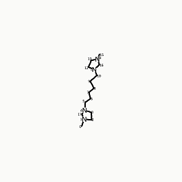 CN1CCN(CCCCCCN2CCN(C)C2)C1